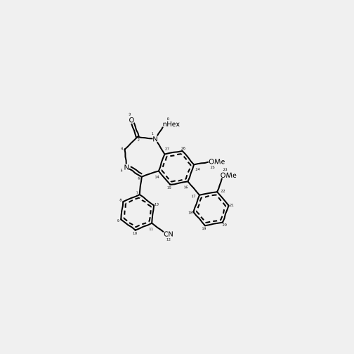 CCCCCCN1C(=O)CN=C(c2cccc(C#N)c2)c2cc(-c3ccccc3OC)c(OC)cc21